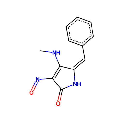 CNC1=C(N=O)C(=O)NC1=Cc1ccccc1